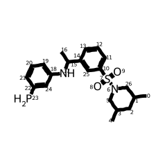 CC1CC(C)CN(S(=O)(=O)c2cccc(C(C)Nc3cccc(P)c3)c2)C1